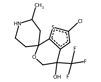 CC1CC2(CCN1)OCC(O)(C(F)(F)F)c1cc(Cl)sc12